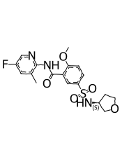 COc1ccc(S(=O)(=O)N[C@H]2CCOC2)cc1C(=O)Nc1ncc(F)cc1C